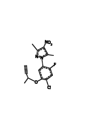 C#CC(C)Oc1cc(-n2nc(C)c([N+](=O)[O-])c2C)c(F)cc1Cl